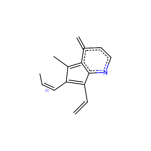 C=CC1=C(/C=C\C)C(C)=c2c1nccc2=C